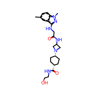 Cc1ccc2c(c1)c(NCC(=O)NC1CN([C@H]3CC[C@@H](C(=O)NCCO)CC3)C1)nn2C